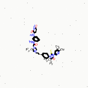 CC1(C)C(=O)N(c2cnc(C#N)c(C(F)(F)F)c2)C(=S)N1[C@H]1CC[C@H](CCCN2CCN(CC(=O)Nc3cccc(NC4CCC(=O)NC4=O)c3)[C@@H](C(F)(F)F)C2)CC1